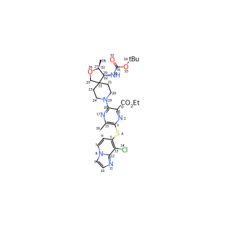 CCOC(=O)c1nc(Sc2ccn3ccnc3c2Cl)c(C)nc1N1CCC2(CC1)CO[C@@H](C)[C@H]2NC(=O)OC(C)(C)C